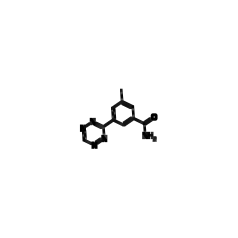 Cc1cc(C(N)=O)cc(-c2nncnn2)c1